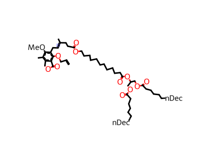 C=CCOc1c(C/C=C(\C)CCC(=O)OCCCCCCCCCCCC(=O)OC(COC(=O)CCCCCCCCCCCCCCC)COC(=O)CCCCCCCCCCCCCCC)c(OC)c(C)c2c1C(=O)OC2